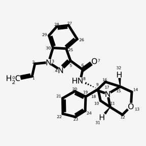 C=CCn1nc(C(=O)N[C@H]2C[C@H]3COC[C@@H](C2)N3Cc2ccccc2)c2ccccc21